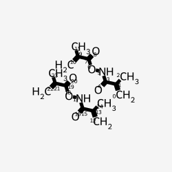 C=C(C)C(=O)NOC(=O)C(=C)C.C=C(C)C(=O)NOC(=O)C(=C)C